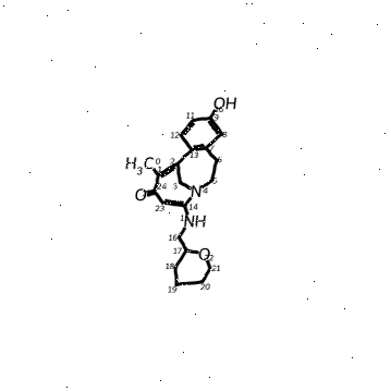 CC1=C2CN(CCc3cc(O)ccc32)C(NCC2CCCCO2)=CC1=O